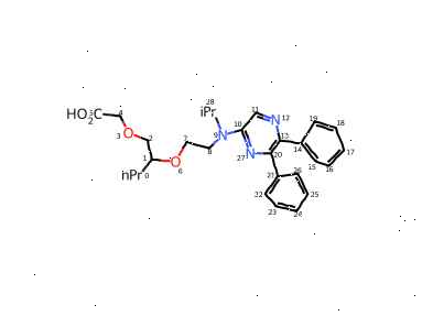 CCCC(COCC(=O)O)OCCN(c1cnc(-c2ccccc2)c(-c2ccccc2)n1)C(C)C